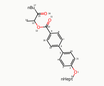 CCCCCCCOc1ccc(-c2ccc(C(=O)OC(C)C(=O)CCCC)cc2)cc1